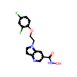 O=C(NO)c1cnc2ccn(CCOc3ccc(F)cc3F)c2c1